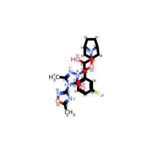 Cc1nc(-n2c(C)nn(CC(O)CN3C4CCC3CC(OCc3cccc(F)c3)C4)c2=O)no1